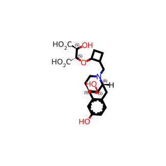 O=C(O)[C@@H](O)[C@H](OC1CCC1CN1CC[C@]23CCCC[C@@]2(O)[C@H]1Cc1ccc(O)cc13)C(=O)O